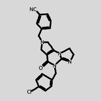 N#Cc1cccc(CN2CC3=C(C2)N2CCN=C2N(Cc2ccc(Cl)cc2)C3=O)c1